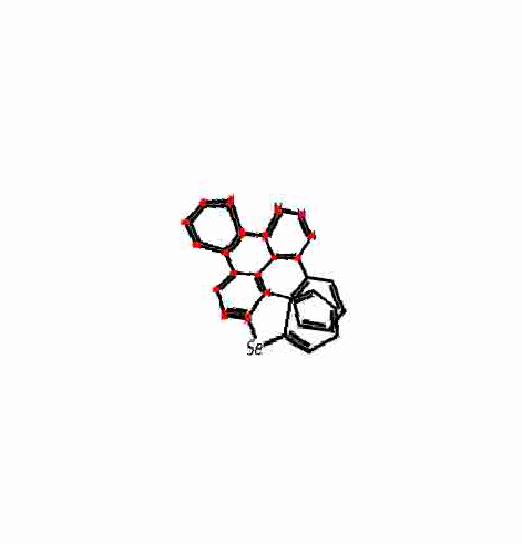 c1ccc(-c2cccnc2-c2c(-c3ccccc3)nnnc2-c2ccccc2-c2ccc3[se]c4ccccc4c3c2-c2ccccc2)cc1